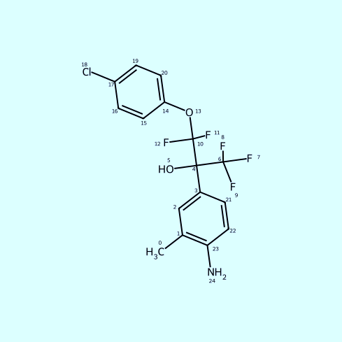 Cc1cc(C(O)(C(F)(F)F)C(F)(F)Oc2ccc(Cl)cc2)ccc1N